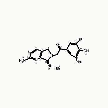 Br.CC(C)(C)c1cc(C(=O)CN2Cc3ccc(N)nc3C2=N)cc(C(C)(C)C)c1O